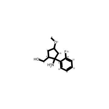 COC1CC(CO)C(N)(c2ccccc2F)C1